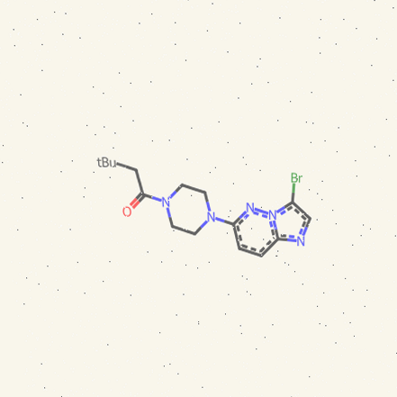 CC(C)(C)CC(=O)N1CCN(c2ccc3ncc(Br)n3n2)CC1